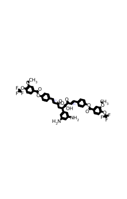 COc1cc(C(=O)Oc2ccc(/C=C/C(=O)CC(c3cc(N)cc(N)c3)C(O)(O)C(=O)/C=C/c3ccc(OC(=O)c4ccc(OC(F)(F)F)c(OC)c4)cc3)cc2)ccc1OC(F)(F)F